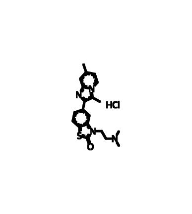 Cc1ccn2c(C)c(-c3ccc4sc(=O)n(CCN(C)C)c4c3)nc2c1.Cl